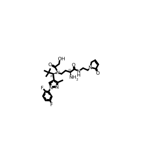 Cc1nn(-c2cc(F)ccc2F)cc1[C@H](N(CC[C@H](N)C(=O)NCCN1CC=CC1=O)C(=O)CO)C(C)(C)C